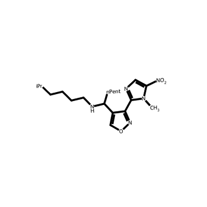 CCCCCC(NCCCCC(C)C)c1conc1-c1ncc([N+](=O)[O-])n1C